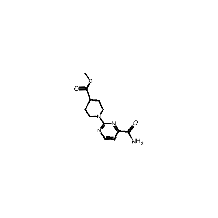 COC(=O)C1CCN(c2nccc(C(N)=O)n2)CC1